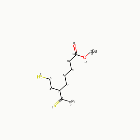 CCCC(=S)C(CCS)CCCCC(=O)OC(C)(C)C